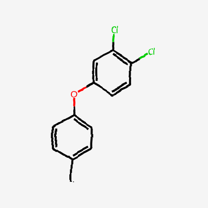 [CH2]c1ccc(Oc2ccc(Cl)c(Cl)c2)cc1